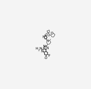 COc1cc2nc(N)n3nc(C4CCC(C)N(c5cnn(CC6(OC7CCCCO7)CCC6)c5)C4)nc3c2cc1F